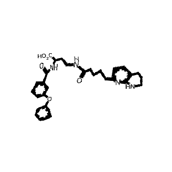 O=C(CCCCc1ccc2c(n1)NCCC2)NCCC(NC(=O)c1cccc(Oc2ccccc2)c1)C(=O)O